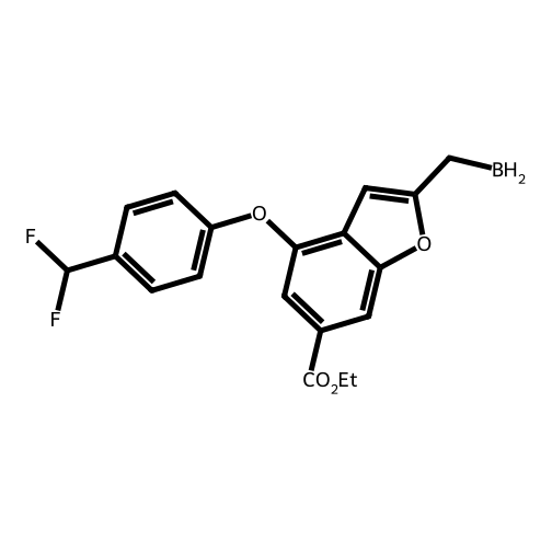 BCc1cc2c(Oc3ccc(C(F)F)cc3)cc(C(=O)OCC)cc2o1